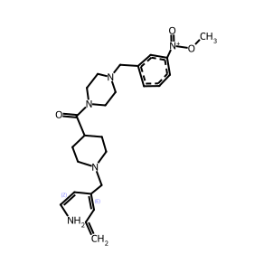 C=C/C=C(\C=C/N)CN1CCC(C(=O)N2CCN(Cc3cccc([N+](=O)OC)c3)CC2)CC1